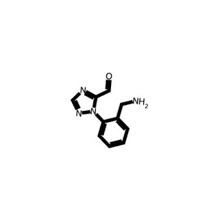 NCc1ccccc1-n1ncnc1C=O